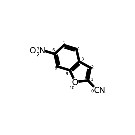 N#Cc1cc2ccc([N+](=O)[O-])cc2o1